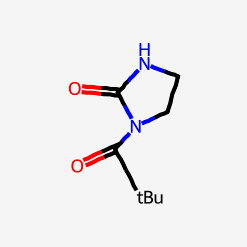 CC(C)(C)C(=O)N1CCNC1=O